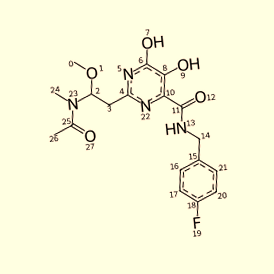 COC(Cc1nc(O)c(O)c(C(=O)NCc2ccc(F)cc2)n1)N(C)C(C)=O